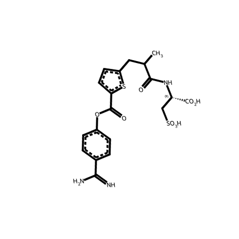 CC(Cc1ccc(C(=O)Oc2ccc(C(=N)N)cc2)s1)C(=O)N[C@@H](CS(=O)(=O)O)C(=O)O